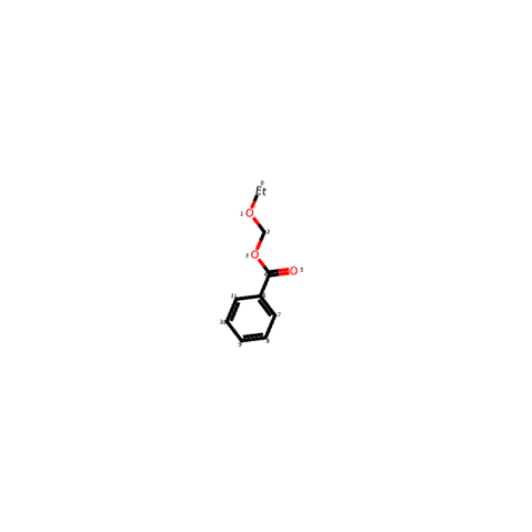 CCOCOC(=O)c1cc[c]cc1